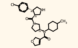 CC1CCC(N(C(=O)C2=CCOC2)[C@H]2CCN(C(=O)[C@@H]3CNC[C@H]3c3ccc(Cl)cc3)C2)CC1